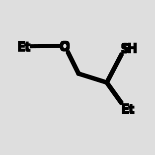 CCOCC(S)CC